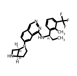 CC[C@@H](Nc1nncc2ccc(N3CC[C@H]4NC[C@H]43)cc12)c1cccc(C(F)(F)F)c1C